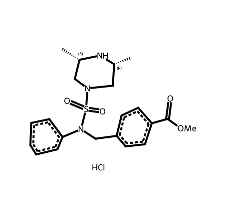 COC(=O)c1ccc(CN(c2ccccc2)S(=O)(=O)N2C[C@@H](C)N[C@@H](C)C2)cc1.Cl